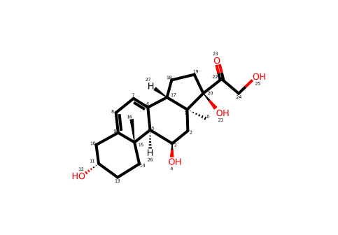 C[C@]12C[C@@H](O)[C@@H]3C(=CC=C4C[C@@H](O)CC[C@]43C)[C@@H]1CC[C@]2(O)C(=O)CO